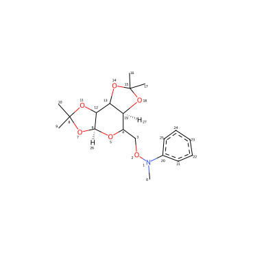 CN(OCC1O[C@H]2OC(C)(C)OC2C2OC(C)(C)O[C@@H]12)c1ccccc1